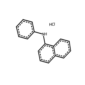 Cl.c1ccc(Nc2cccc3ccccc23)cc1